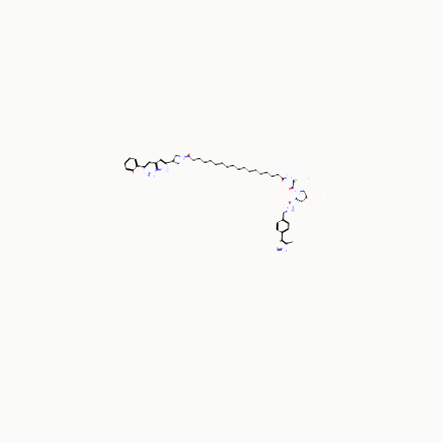 Cc1ncsc1-c1ccc(CNC(=O)[C@@H]2C[C@@H](O)CN2C(=O)[C@@H](NC(=O)CCCCCCCCCCCCCCCCC(=O)N2CC(c3cc4cc(-c5ccccc5O)nnc4[nH]3)C2)C(C)(C)C)cc1